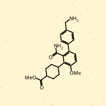 COC(=O)C1CCC(c2c(OC)ccc(-c3ccc(CN)cc3)c2C(N)=O)CC1